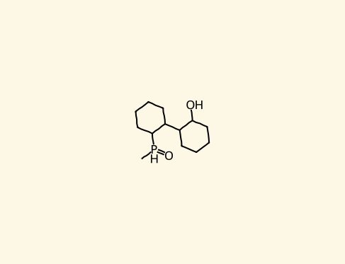 C[PH](=O)C1CCCCC1C1CCCCC1O